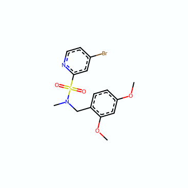 COc1ccc(CN(C)S(=O)(=O)c2cc(Br)ccn2)c(OC)c1